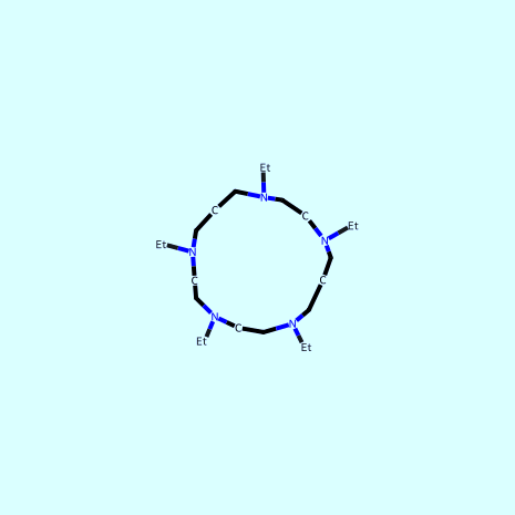 CCN1CCCN(CC)CCN(CC)CCN(CC)CCCN(CC)CC1